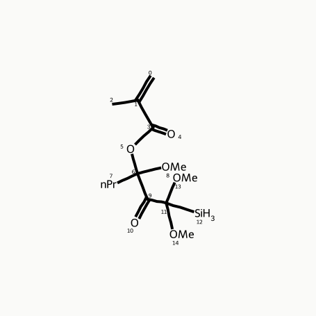 C=C(C)C(=O)OC(CCC)(OC)C(=O)C([SiH3])(OC)OC